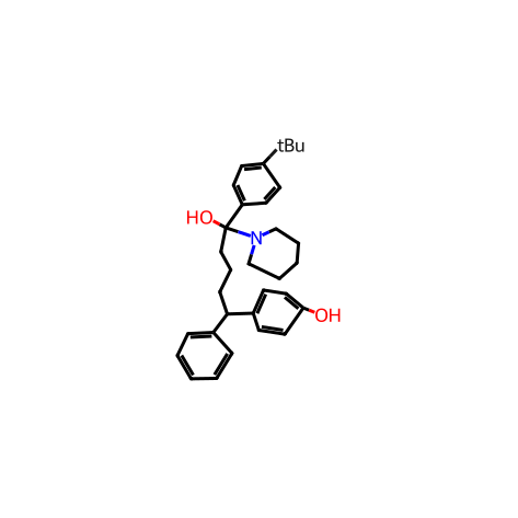 CC(C)(C)c1ccc(C(O)(CCCC(c2ccccc2)c2ccc(O)cc2)N2CCCCC2)cc1